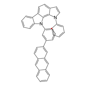 c1ccc(-n2ccc3ccc4c5ccccc5n(-c5cccc(-c6ccc7cc8ccccc8cc7c6)c5)c4c32)cc1